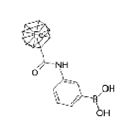 O=C(Nc1cccc(B(O)O)c1)[C]12[CH]3[CH]4[CH]5[CH]1[Fe]45321678[CH]2[CH]1[CH]6[CH]7[CH]28